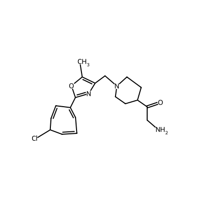 Cc1oc(C2=CC=CC(Cl)C=C2)nc1CN1CCC(C(=O)CN)CC1